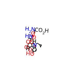 CC(C)(NC(=O)OCC(N)C(=O)O)C(=O)O[C@@]12CCC(=O)[C@@H]3Oc4c(O)ccc5c4[C@@]31CCN(CC1CC1)[C@@H]2C5